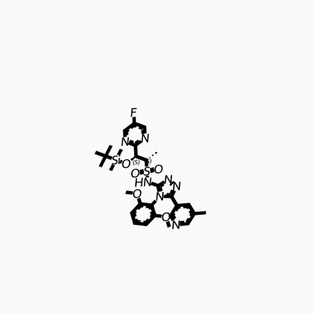 COc1cccc(OC)c1-n1c(NS(=O)(=O)[C@@H](C)[C@@H](O[Si](C)(C)C(C)(C)C)c2ncc(F)cn2)nnc1-c1cncc(C)c1